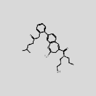 CCCN(CCCO)C(=O)C1=Cc2ccc(-c3ccccc3CC(=O)CCC(C)C)cc2N=C(N)C1